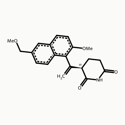 C=C(c1c(OC)ccc2cc(COC)ccc12)[C@H]1CCC(=O)NC1=O